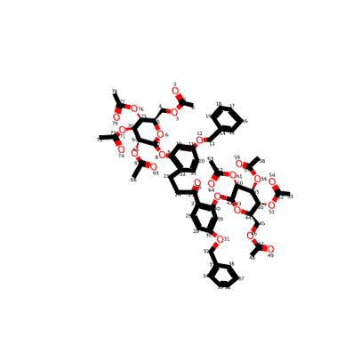 CC(=O)OC[C@H]1OC(Oc2cc(OCc3ccccc3)ccc2CCC(=O)c2ccc(OCc3ccccc3)cc2OC2O[C@H](COC(C)=O)[C@@H](OC(C)=O)[C@H](OC(C)=O)[C@H]2OC(C)=O)[C@H](OC(C)=O)[C@@H](OC(C)=O)[C@@H]1OC(C)=O